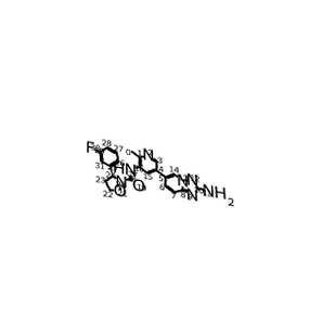 Cc1ncc(-c2ccc3nc(N)nn3c2)cc1NC(=O)N1OCC[C@H]1c1cccc(F)c1